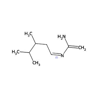 C=C(N)/N=C\CC(C)C(C)C